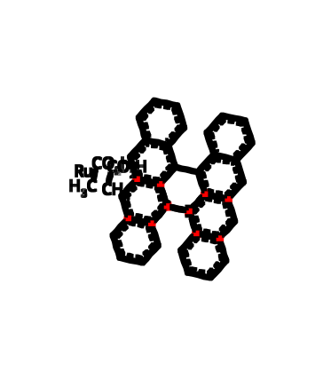 CC(=O)O.CC(=O)O.[Ru].c1ccc(P(c2ccccc2)c2ccc3ccccc3c2-c2c(P(c3ccccc3)c3ccccc3)ccc3ccccc23)cc1